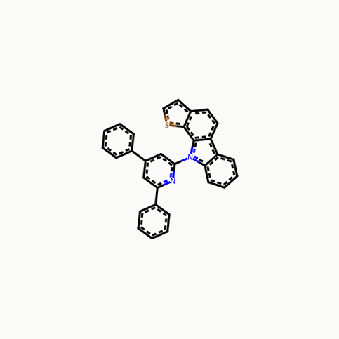 c1ccc(-c2cc(-c3ccccc3)nc(-n3c4ccccc4c4ccc5ccsc5c43)c2)cc1